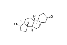 CC[C@H]1CC[C@H]2[C@@H]3CC=C4CC(=O)CC[C@]4(C)[C@H]3CC[C@]12C